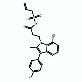 C=CCS(=O)(=O)OC(=O)CCn1c(C)c(-c2ccc(Cl)cc2)c2cccc(Cl)c21